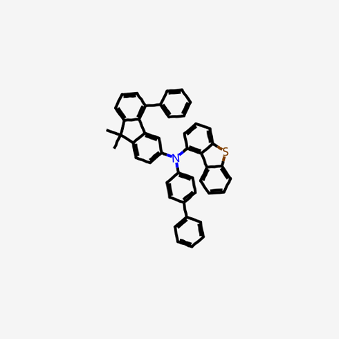 CC1(C)c2ccc(N(c3ccc(-c4ccccc4)cc3)c3cccc4sc5ccccc5c34)cc2-c2c(-c3ccccc3)cccc21